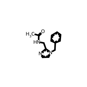 CC(=O)NCc1nccn1Cc1ccccc1